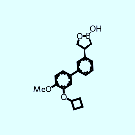 COc1ccc(-c2cccc([C@H]3COB(O)C3)c2)cc1OC1CCC1